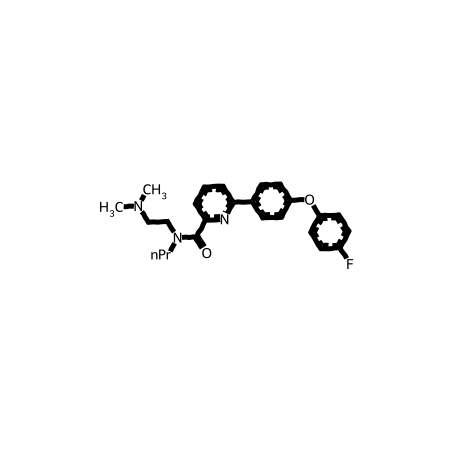 CCCN(CCN(C)C)C(=O)c1cccc(-c2ccc(Oc3ccc(F)cc3)cc2)n1